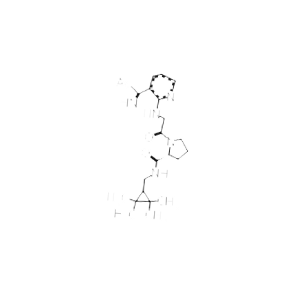 CC(=O)C(=N)c1cccnc1NCC(=O)N1CCC[C@H]1C(=O)NCC1C(C)(C)C1(C)C